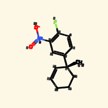 C[C@]1(c2ccc(F)c([N+](=O)[O-])c2)C=CCCC1